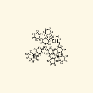 CC1(C)c2ccccc2-c2c(-c3ccccc3)cc(N(c3ccc(C45CC6CC(CC(C6)C4)C5)cc3)c3ccc([Si](c4ccccc4)(c4ccccc4)c4ccccc4)cc3)cc21